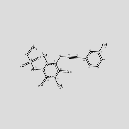 C=CS(=O)(=O)Nc1c(C)n(CC#Cc2cccc(O)c2)c(=O)n(C)c1=O